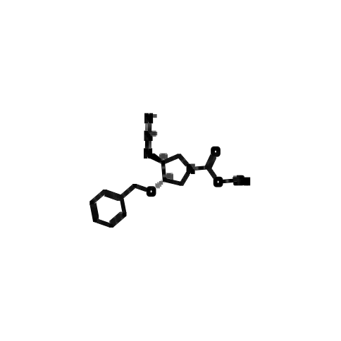 CC(C)(C)OC(=O)N1C[C@H](N=[N+]=[N-])[C@@H](OCc2ccccc2)C1